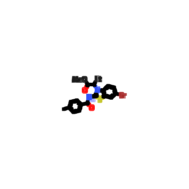 CCC(C(=O)OC)n1/c(=N/C(=O)c2ccc(C)cc2)sc2cc(Br)ccc21